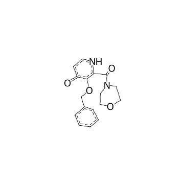 O=C(c1[nH]ccc(=O)c1OCc1ccccc1)N1CCOCC1